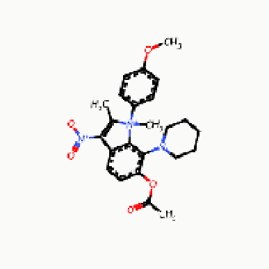 COc1ccc([N+]2(C)C(C)=C([N+](=O)[O-])c3ccc(OC(C)=O)c(N4CCCCC4)c32)cc1